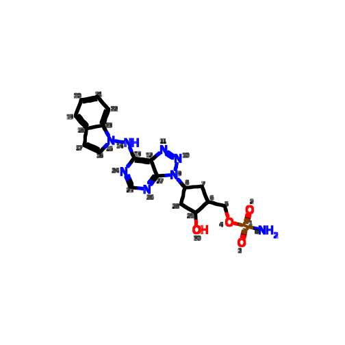 NS(=O)(=O)OCC1CC(n2nnc3c(Nn4ccc5ccccc54)ncnc32)CC1O